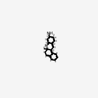 CC12CC=c3ccccc3=C1C=c1ccc(N)cc1=N2